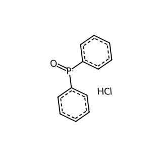 Cl.O=[P](c1ccccc1)c1ccccc1